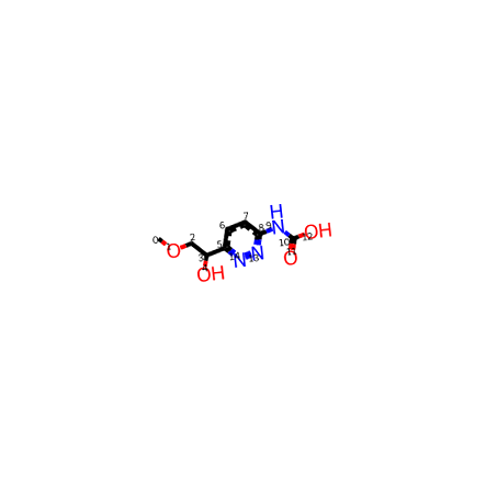 COCC(O)c1ccc(NC(=O)O)nn1